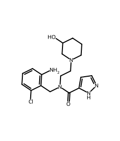 Nc1cccc(Cl)c1CN(CCN1CCCC(O)C1)C(=O)c1ccn[nH]1